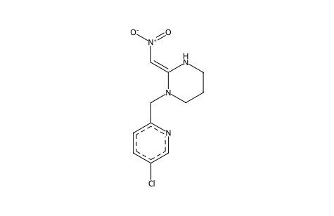 O=[N+]([O-])C=C1NCCCN1Cc1ccc(Cl)cn1